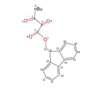 CCCCC(=O)C(=O)C(=O)OCC1c2ccccc2-c2ccccc21